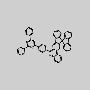 c1ccc(-c2nc(-c3ccccc3)nc(-c3ccc(-c4nc5ccccc5c5cc6c(cc45)-c4ccccc4C64c5ccccc5-c5ccccc54)cc3)n2)cc1